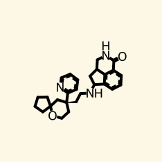 O=C1NCC2CC(NCC[C@@]3(c4ccccn4)CCOC4(CCCC4)C3)c3cccc1c32